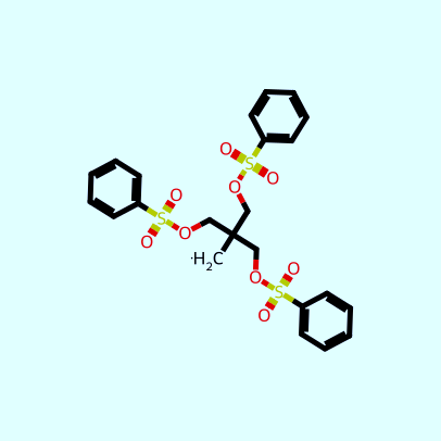 [CH2]C(COS(=O)(=O)c1ccccc1)(COS(=O)(=O)c1ccccc1)COS(=O)(=O)c1ccccc1